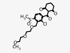 COCCOCCOCc1c([S+](C)[O-])ccc(C(=O)C2C(=O)CCCC2=O)c1Cl